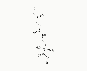 CC(C)(CCNC(=O)CNC(=O)CN)C(=O)OBr